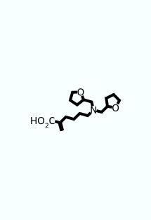 C=C(CCCCN(CC1CCCO1)CC1CCCO1)C(=O)O